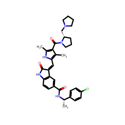 Cc1[nH]c(/C=C2\C(=O)Nc3ccc(C(=O)N[C@@H](C)c4ccc(Cl)cc4)cc32)c(C)c1C(=O)N1CCC[C@H]1CN1CCCC1